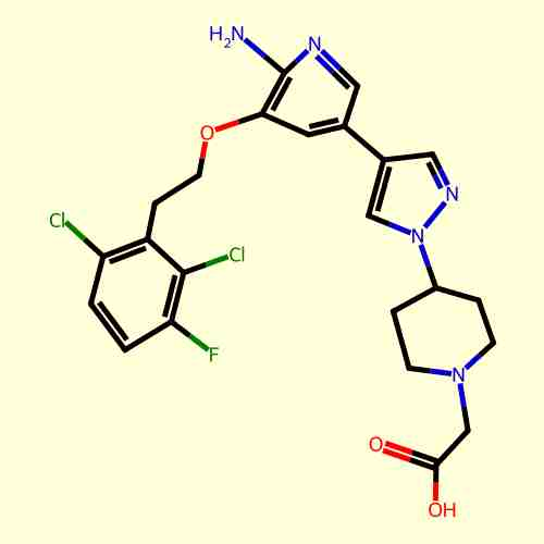 Nc1ncc(-c2cnn(C3CCN(CC(=O)O)CC3)c2)cc1OCCc1c(Cl)ccc(F)c1Cl